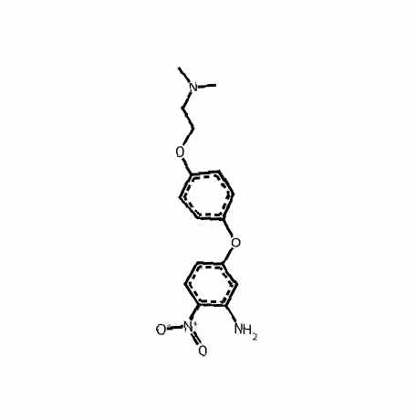 CN(C)CCOc1ccc(Oc2ccc([N+](=O)[O-])c(N)c2)cc1